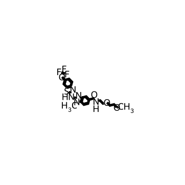 COCCOCCNC(=O)c1ccc2c(c1)nc(Nc1nc3ccc(OC(F)(F)F)cc3s1)n2C